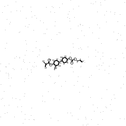 C=CCOC(=O)Oc1ccc(-c2ccc(OC(=O)C(=C)C)c(F)c2)cc1